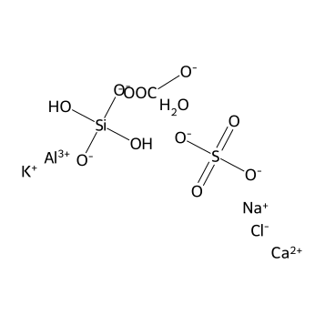 O.O=C([O-])[O-].O=S(=O)([O-])[O-].[Al+3].[Ca+2].[Cl-].[K+].[Na+].[O-][Si]([O-])(O)O